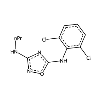 CCCNc1noc(Nc2c(Cl)cccc2Cl)n1